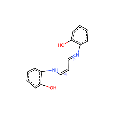 Oc1ccccc1/N=C/C=C\Nc1ccccc1O